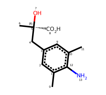 Cc1cc(C[C@@](C)(O)C(=O)O)cc(C)c1N